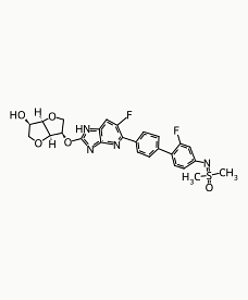 CS(C)(=O)=Nc1ccc(-c2ccc(-c3nc4nc(O[C@@H]5CO[C@H]6[C@@H]5OC[C@H]6O)[nH]c4cc3F)cc2)c(F)c1